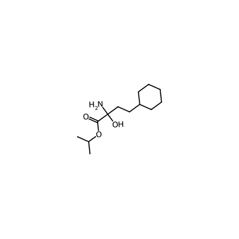 CC(C)OC(=O)C(N)(O)CCC1CCCCC1